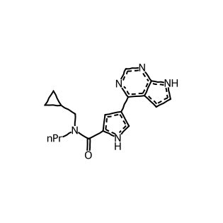 CCCN(CC1CC1)C(=O)c1cc(-c2ncnc3[nH]ccc23)c[nH]1